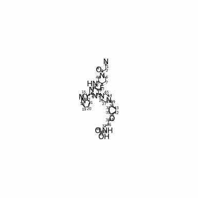 N#CCC(=O)N1CCC[C@@H](Nc2nc(-c3cnn4ccccc34)nc(N3CCN(Cc4ccc(OCCCNC(=O)O)cc4)CC3)c2F)C1